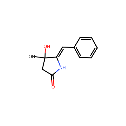 O=NC1(O)CC(=O)N/C1=C\c1ccccc1